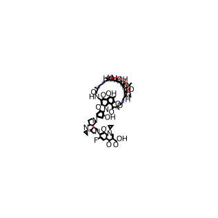 COC1=C(N2CC[C@@H](C3(N(C)C4CCN(c5cc(O)c6nc7c8c9c%10c(C)c(O)c8c(=O)c(c-7oc6c5)NC(=O)/C(C)=C\C=C\[C@H](C)[C@H](O)[C@@H](C)[C@@H](O)[C@@H](C)[C@H](OC(C)=O)[C@H](C)[C@@H](OC)/C=C/O[C@@](C)(O%10)C9=O)CC4)CC3)C2)C(F)=CC2C(=O)C(C(=O)O)=CN(C3CC3)C12